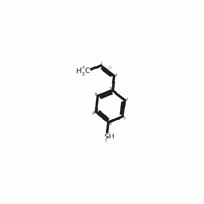 C/C=C\c1ccc(S)cc1